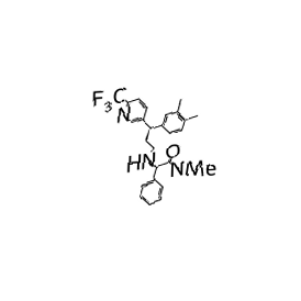 CNC(=O)[C@H](NCC[C@@H](c1ccc(C(F)(F)F)nc1)c1ccc(C)c(C)c1)c1ccccc1